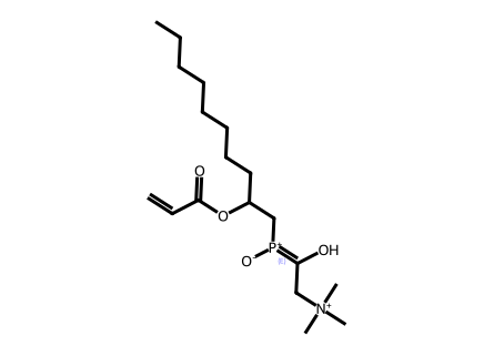 C=CC(=O)OC(CCCCCCCC)C/[P+]([O-])=C(\O)C[N+](C)(C)C